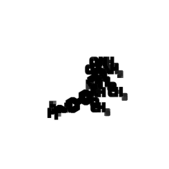 COCCn1c(N)c(C(N)=O)c(=O)c2cnc(Nc3ccc(C4CCN(CCC(F)(F)F)CC4)cc3OC)nc21